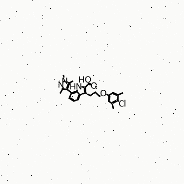 Cc1cc(OCCCc2c(C(=O)O)[nH]c3c(-c4c(C)nn(C)c4C)cccc23)cc(C)c1Cl